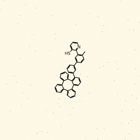 Cc1ccc(-c2cccc(-c3cccc4c3-c3ccccc3-c3ccccc3-c3ccccc3-4)c2)cc1-c1ncccc1S